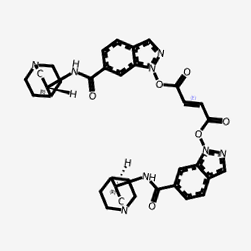 O=C(/C=C/C(=O)On1ncc2ccc(C(=O)N[C@H]3CN4CCC3CC4)cc21)On1ncc2ccc(C(=O)N[C@H]3CN4CCC3CC4)cc21